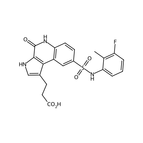 Cc1c(F)cccc1NS(=O)(=O)c1ccc2[nH]c(=O)c3[nH]cc(CCC(=O)O)c3c2c1